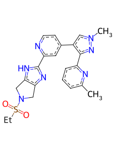 CCS(=O)(=O)N1Cc2nc(-c3cc(-c4cn(C)nc4-c4cccc(C)n4)ccn3)[nH]c2C1